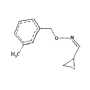 Cc1cccc(CO/N=[C]\C2CC2)c1